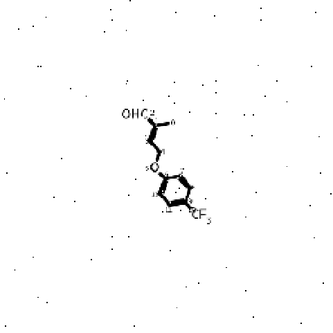 CC(C=O)=CCOc1ccc(C(F)(F)F)cc1